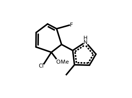 COC1(Cl)C=CC=C(F)C1c1[nH]ccc1C